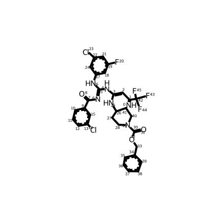 N=C(/C=C(/N/C(=N/C(=O)c1cccc(Cl)c1)Nc1cc(F)cc(Cl)c1)NC1CCN(C(=O)OCc2ccccc2)CC1)C(F)(F)F